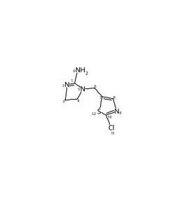 NC1=NCCN1Cc1cnc(Cl)s1